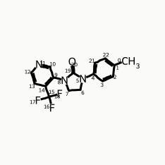 Cc1ccc(N2CCN(c3cnccc3C(F)(F)F)C2=O)cc1